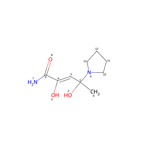 CC(O)(/C=C(\O)C(N)=O)N1CCCC1